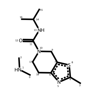 CNC.Cc1nc2c(s1)CN(C(=O)NC(C)C)CC2